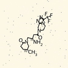 C[C@H]1CCC(=O)N(C[C@@H](N)CC(=O)N2CCn3c(nnc3C(F)(F)F)C2)C1